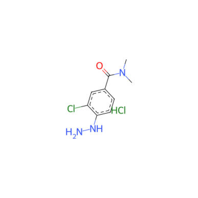 CN(C)C(=O)c1ccc(NN)c(Cl)c1.Cl